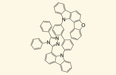 c1ccc(-c2nnc(-c3cccc4c5ccccc5n(-c5cccc(-c6cccc(-n7c8ccccc8c8ccc9oc%10ccccc%10c9c87)c6)c5)c34)n2-c2ccccc2)cc1